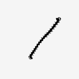 C(CCCCCCCCCCCCCCCCCC1CO1)CCCCCCCCCCCCCCCCC1CO1